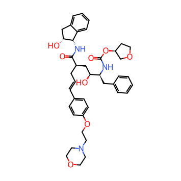 O=C(N[C@@H](Cc1ccccc1)[C@@H](O)C[C@@H](CC=Cc1ccc(OCCN2CCOCC2)cc1)C(=O)N[C@H]1c2ccccc2C[C@H]1O)O[C@H]1CCOC1